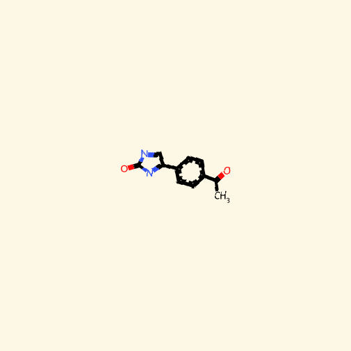 CC(=O)c1ccc(C2=NC(=O)N=C2)cc1